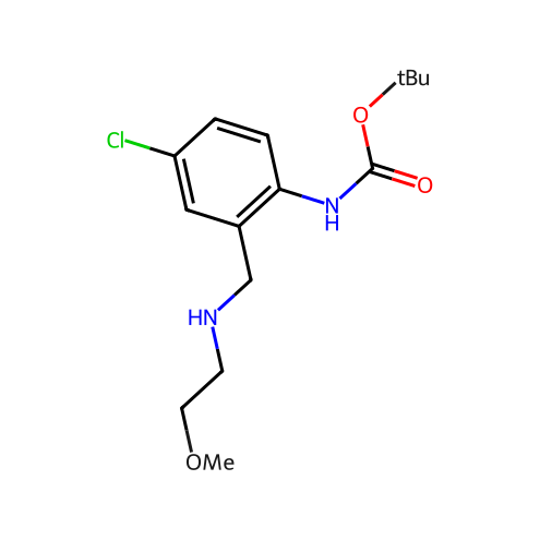 COCCNCc1cc(Cl)ccc1NC(=O)OC(C)(C)C